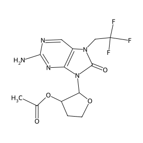 CC(=O)OC1CCOC1n1c(=O)n(CC(F)(F)F)c2cnc(N)nc21